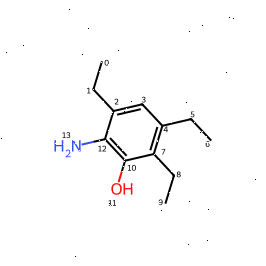 CCc1cc(CC)c(CC)c(O)c1N